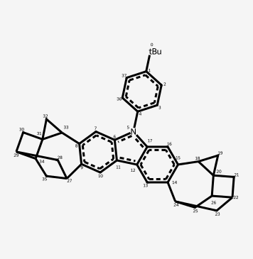 CC(C)(C)c1ccc(-n2c3cc4c(cc3c3cc5c(cc32)C2CC23CC2CC5CC23)C2CC3CC5(CC45)C3C2)cc1